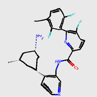 Cc1ccc(F)c(-c2nc(C(=O)Nc3cnccc3[C@@H]3C[C@H](C)C[C@H](N)C3)ccc2F)c1F